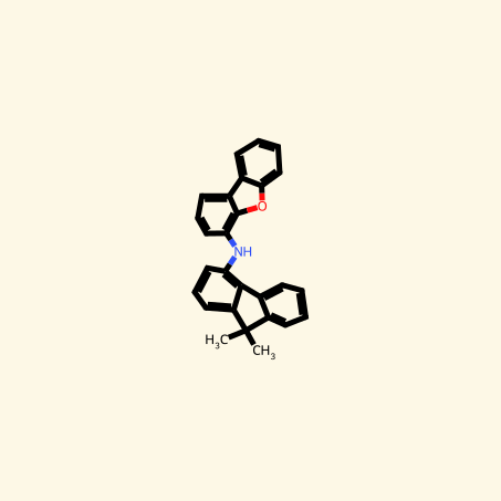 CC1(C)c2ccccc2-c2c(Nc3cccc4c3oc3ccccc34)cccc21